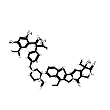 CCc1c2c(nc3ccc([C@H]4CN(Cc5ccc(-c6c(-c7cc(C(C)C)c(O)cc7O)n[nH]c6C)cc5)CCN4[C]=O)cc13)-c1cc3c(c(=O)n1C2)COC(=O)C3(O)CC